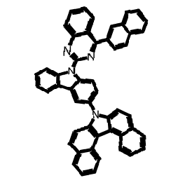 c1ccc2cc(-c3nc(-n4c5ccccc5c5cc(-n6c7ccc8ccccc8c7c7c8ccccc8ccc76)ccc54)nc4ccccc34)ccc2c1